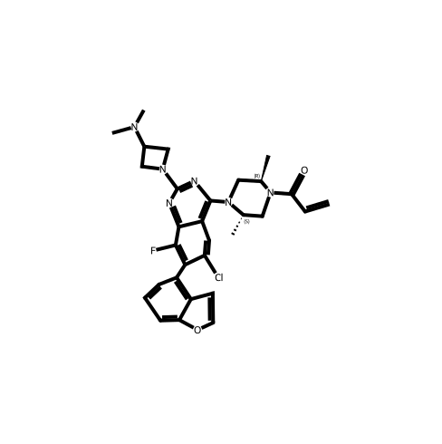 C=CC(=O)N1C[C@H](C)N(c2nc(N3CC(N(C)C)C3)nc3c(F)c(-c4cccc5occc45)c(Cl)cc23)C[C@H]1C